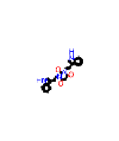 O=C1CC(=O)N(CCc2c[nH]c3ccccc23)C(=O)N1CCc1c[nH]c2ccccc12